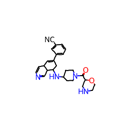 N#Cc1cccc(C2=CC3C=CN=CC3C(NC3CCN(C(=O)C4CNCCO4)CC3)C2)c1